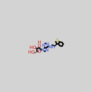 OC[C@H]1O[C@@H](n2cnc3c(NCCc4csc5ccccc45)ncnc32)[C@H](O)[C@@H]1O